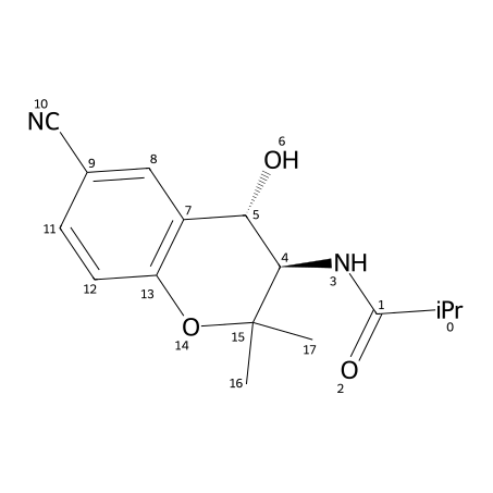 CC(C)C(=O)N[C@@H]1[C@@H](O)c2cc(C#N)ccc2OC1(C)C